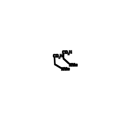 CNCC(=O)O.CNCC(=O)O